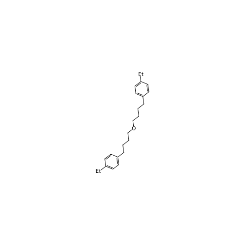 CCc1ccc(CCCCOCCCCc2ccc(CC)cc2)cc1